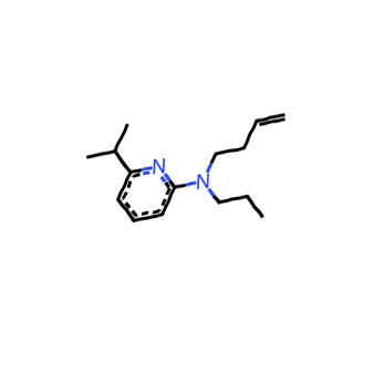 C=CCCN(CCC)c1cccc(C(C)C)n1